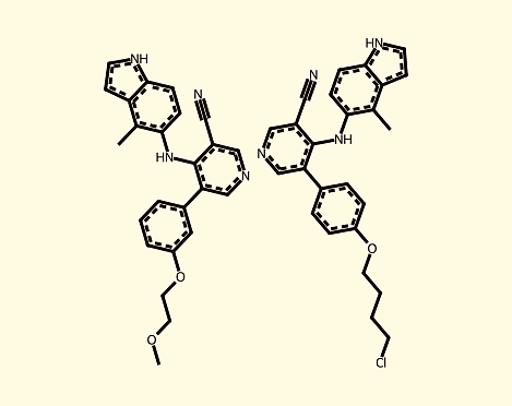 COCCOc1cccc(-c2cncc(C#N)c2Nc2ccc3[nH]ccc3c2C)c1.Cc1c(Nc2c(C#N)cncc2-c2ccc(OCCCCCl)cc2)ccc2[nH]ccc12